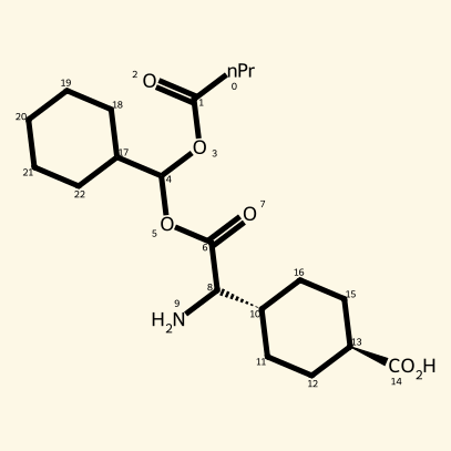 CCCC(=O)OC(OC(=O)C(N)[C@H]1CC[C@H](C(=O)O)CC1)C1CCCCC1